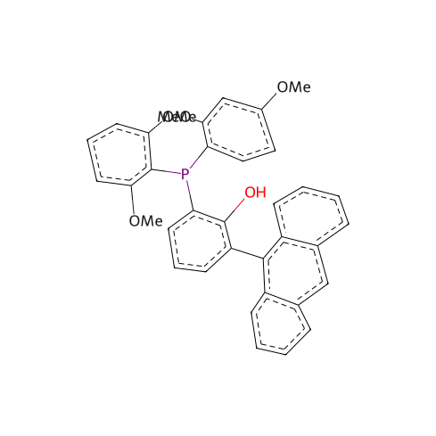 COc1ccc(P(c2cccc(-c3c4ccccc4cc4ccccc34)c2O)c2c(OC)cccc2OC)c(OC)c1